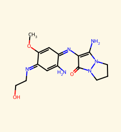 COC1=CC(=N/c2c(N)n3n(c2=O)CCC3)/C(N)=CC/1=N\CCO